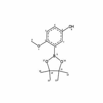 COc1ccc(O)cc1B1OC(C)(C)C(C)(C)O1